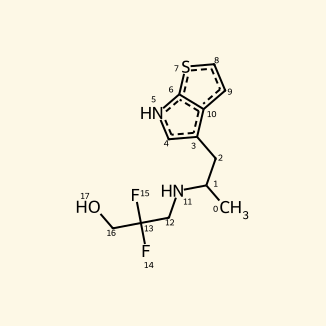 CC(Cc1c[nH]c2sccc12)NCC(F)(F)CO